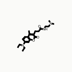 CCN(CC)c1ccc2c(C)c(CCC(=O)NCCN(C)C)c(=O)oc2c1